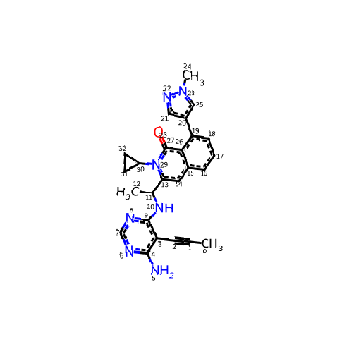 CC#Cc1c(N)ncnc1N[C@@H](C)c1cc2cccc(-c3cnn(C)c3)c2c(=O)n1C1CC1